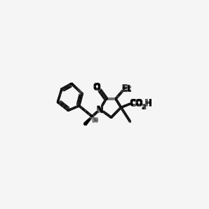 CCC1C(=O)N([C@@H](C)c2ccccc2)CC1(C)C(=O)O